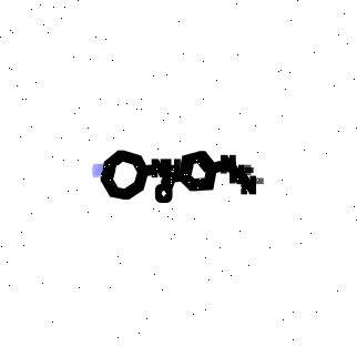 [N-]=[N+]=Nc1ccc(C(=O)NC2CC/C=C\CCC2)cc1